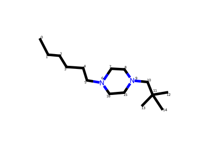 CCCCCCN1CCN(CC(C)(C)C)CC1